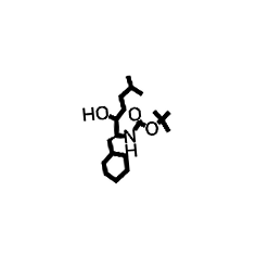 CC(C)CCC(O)[C@H](CC1CCCCC1)NC(=O)OC(C)(C)C